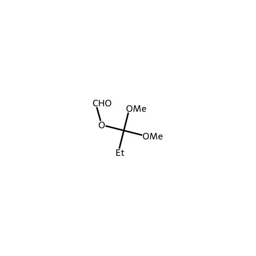 CCC(OC)(OC)OC=O